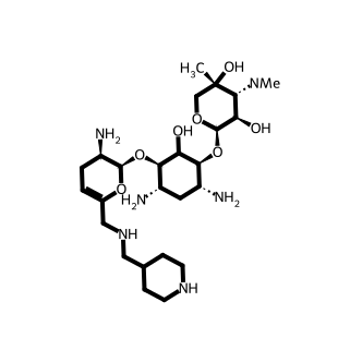 CN[C@@H]1[C@@H](O)[C@@H](O[C@@H]2C(O)[C@H](O[C@H]3OC(CNCC4CCNCC4)=CC[C@H]3N)[C@@H](N)C[C@H]2N)OC[C@]1(C)O